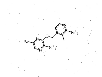 Cc1c(COc2nc(Br)cnc2N)ccnc1N